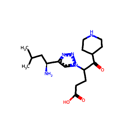 CC(C)C[C@H](N)c1cn(C(CCC(=O)O)C(=O)C2CCNCC2)nn1